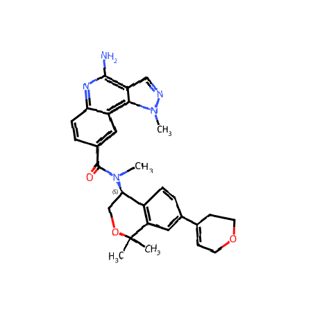 CN(C(=O)c1ccc2nc(N)c3cnn(C)c3c2c1)[C@@H]1COC(C)(C)c2cc(C3=CCOCC3)ccc21